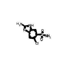 Nc1nc2cc(Cl)c(S(N)(=O)=O)cc2[nH]1